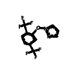 FC(F)(F)c1ccc(C(F)(F)F)c(On2cc[c]n2)c1